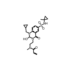 C=CC(=O)N(C)CCN1C(=O)c2cc(S(=O)(=O)NC3(C)CC3)ccc2N(CC2CC2)C1O